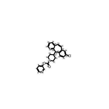 O=C(Oc1cccnc1)N1CCC(C2c3ccc(Cl)cc3C=Cc3cccnc32)CC1